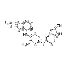 N#Cc1cc2cc(CN3CC[C@H](Nc4ncnc5sc(CC(F)(F)F)cc45)[C@@H](N)C3)ccc2[nH]1